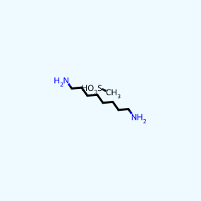 CS(=O)(=O)O.NCCCCCCCCN